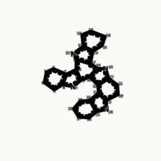 c1ccc2c(c1)nc1c2c2nc3ccccc3c2c2nc3ccc4nc5ccccc5c4c3c12